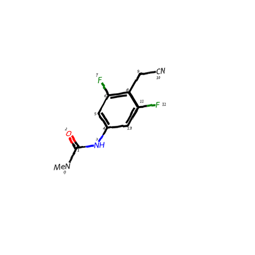 CNC(=O)Nc1cc(F)c(CC#N)c(F)c1